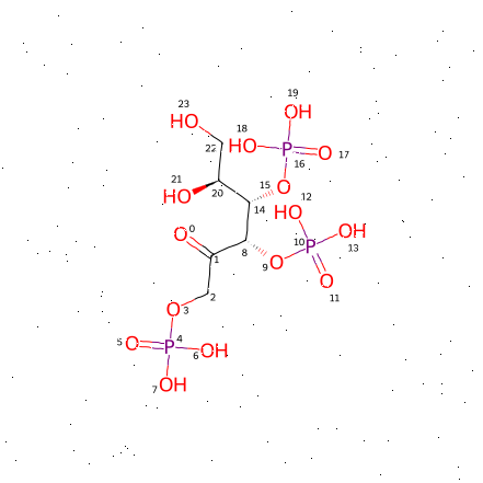 O=C(COP(=O)(O)O)[C@@H](OP(=O)(O)O)[C@@H](OP(=O)(O)O)[C@@H](O)CO